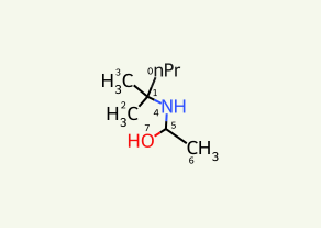 CCCC(C)(C)NC(C)O